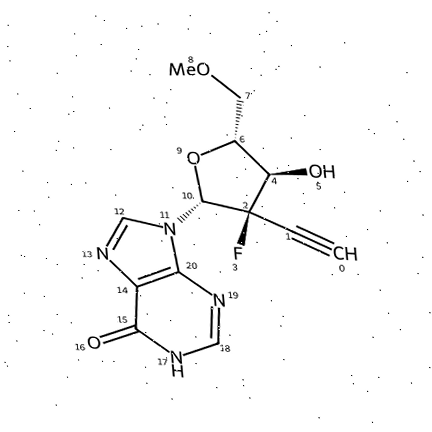 C#C[C@@]1(F)[C@H](O)[C@@H](COC)O[C@H]1n1cnc2c(=O)[nH]cnc21